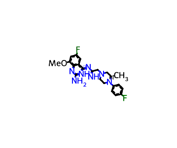 COc1cc(F)cc2/c(=N/C(=N)CN3CCN(c4ccc(F)cc4)[C@@H](C)C3)[nH]c(N)nc12